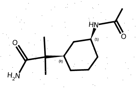 CC(=O)N[C@H]1CCC[C@@H](C(C)(C)C(N)=O)C1